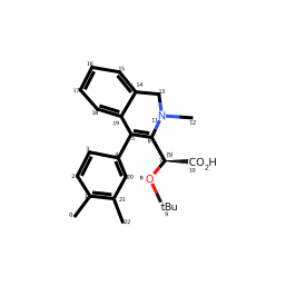 Cc1ccc(C2=C([C@H](OC(C)(C)C)C(=O)O)N(C)Cc3ccccc32)cc1C